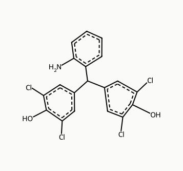 Nc1ccccc1C(c1cc(Cl)c(O)c(Cl)c1)c1cc(Cl)c(O)c(Cl)c1